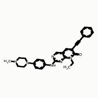 CCn1c(=O)c(C#Cc2ccccc2)cc2cnc(Nc3ccc(N4CCN(C)CC4)cc3)nc21